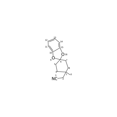 CC1(CC#N)CCC2(CC1)Oc1ccccc1O2